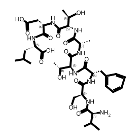 CC(C)C[C@H](NC(=O)[C@H](CC(=O)O)NC(=O)[C@@H](NC(=O)[C@H](C)NC(=O)[C@@H](NC(=O)[C@H](Cc1ccccc1)NC(=O)[C@H](CO)NC(=O)[C@@H](N)C(C)C)[C@@H](C)O)[C@@H](C)O)C(=O)O